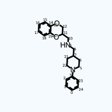 c1ccc(N2CCC(CNCC3COc4ccccc4O3)CC2)cc1